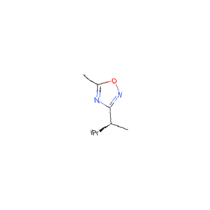 Cc1nc([C@@H](C)C(C)C)no1